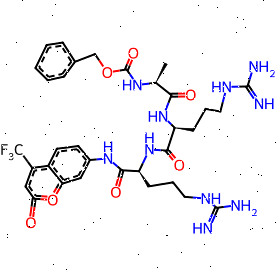 C[C@H](NC(=O)OCc1ccccc1)C(=O)N[C@@H](CCCNC(=N)N)C(=O)N[C@@H](CCCNC(=N)N)C(=O)Nc1ccc2c(C(F)(F)F)cc(=O)oc2c1